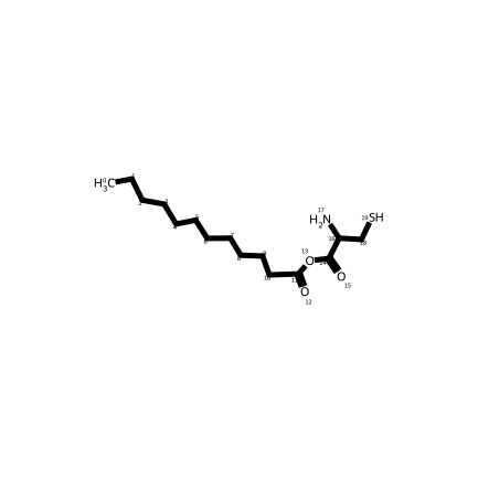 CCCCCCCCCCCC(=O)OC(=O)C(N)CS